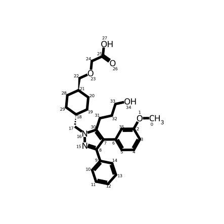 COc1cccc(-c2c(-c3ccccc3)nn(C[C@H]3CC[C@H](COCC(=O)O)CC3)c2CCCO)c1